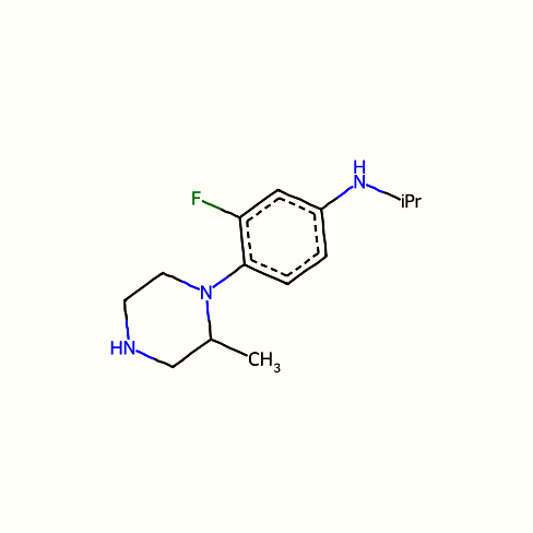 CC(C)Nc1ccc(N2CCNCC2C)c(F)c1